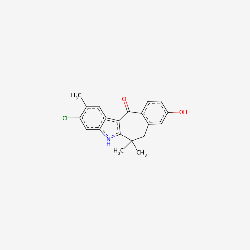 Cc1cc2c3c([nH]c2cc1Cl)C(C)(C)Cc1cc(O)ccc1C3=O